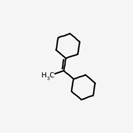 CC(=C1CCCCC1)C1CCCCC1